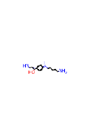 N=C/C=C(\O)c1ccc(NCCCCCN)cc1